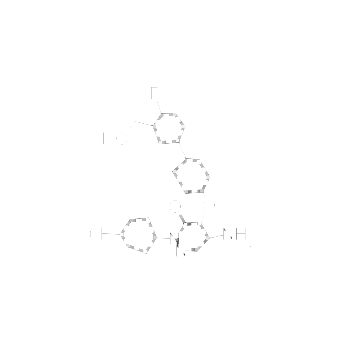 Nc1cnn(-c2ccc(Cl)cc2)c(=O)c1Oc1ccc(-c2ccc(F)c(CO)c2)cc1